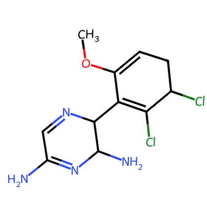 COC1=CCC(Cl)C(Cl)=C1C1N=CC(N)=NC1N